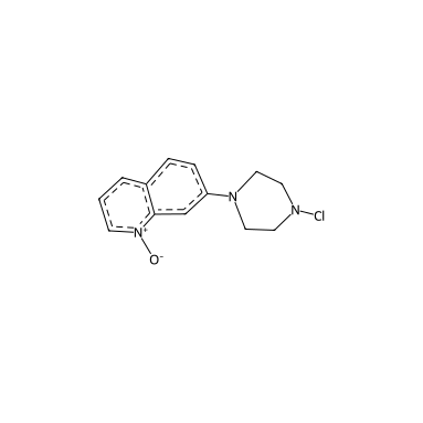 [O-][n+]1cccc2ccc(N3CCN(Cl)CC3)cc21